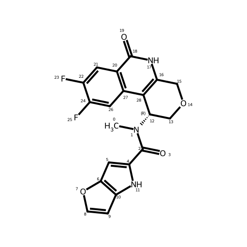 CN(C(=O)c1cc2occc2[nH]1)[C@H]1COCc2[nH]c(=O)c3cc(F)c(F)cc3c21